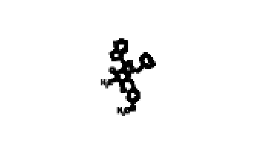 COc1ccc(Cn2c(=O)n(C)c(=O)c3c(N4CCc5ncccc54)nn(Cc4ccccc4)c32)cc1